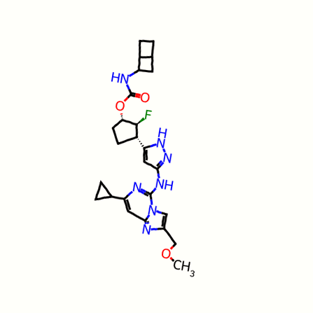 COCc1cn2c(Nc3cc([C@@H]4CC[C@H](OC(=O)NC5CC6CCC65)[C@H]4F)[nH]n3)nc(C3CC3)cc2n1